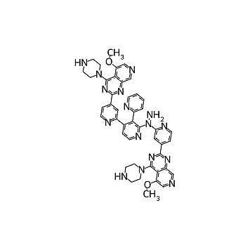 COc1cncc2nc(-c3ccnc(-c4ccnc(N(N)c5cc(-c6nc(N7CCNCC7)c7c(OC)cncc7n6)ccn5)c4-c4ccccn4)c3)nc(N3CCNCC3)c12